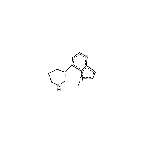 Cn1ccc2nccc(C3CCCNC3)c21